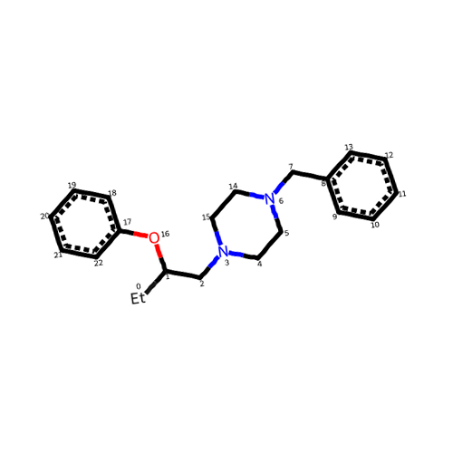 CCC(CN1CCN(Cc2ccccc2)CC1)Oc1ccccc1